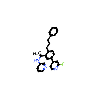 C=C(Nc1cccnc1)c1cc(-c2ccnc(F)c2)ccc1CCCc1ccccc1